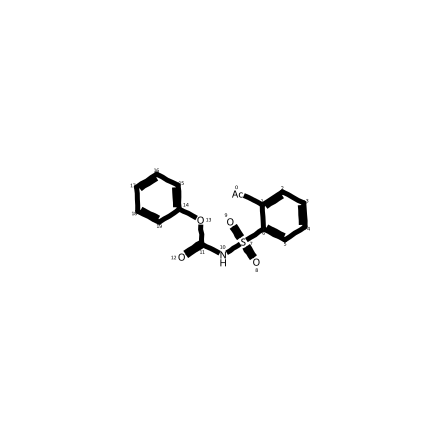 CC(=O)c1ccccc1S(=O)(=O)NC(=O)Oc1ccccc1